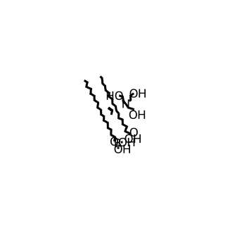 C=CC.CCCCCCCCCCCCCCCCCC(=O)O.CCCCCCCCCCCCCCCCCCOB(O)O.OCCN(CCO)CCO